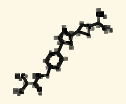 CC(C)C(=O)NCc1ccc(-c2cnc(C3CN(C(C)C)C3)s2)cc1